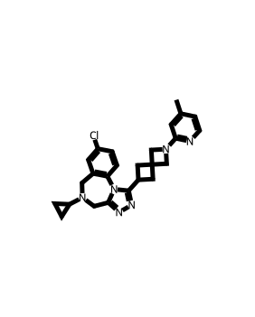 Cc1ccnc(N2CC3(CC(c4nnc5n4-c4ccc(Cl)cc4CN(C4CC4)C5)C3)C2)c1